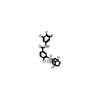 CCC(C)[C@@]1(O)[C@@H]2CC[C@H]1C[C@H](S(=O)(=O)c1cc(C(=O)Nc3cc(F)c(F)c(F)c3)ccc1Cl)C2